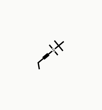 CCC#C[Si](C)(C)C(C)(C)C